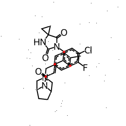 O=C1NC2(CC2)C(=O)N1c1cc(Cl)c(F)cc1C=CC(=O)N1C2CCC1CN(Cc1ccc(F)cc1)C2